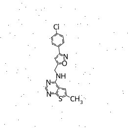 Cc1cc2c(NCc3cc(-c4ccc(Cl)cc4)no3)ncnc2s1